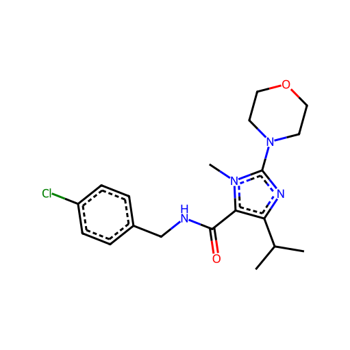 CC(C)c1nc(N2CCOCC2)n(C)c1C(=O)NCc1ccc(Cl)cc1